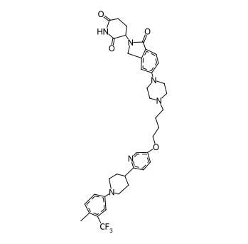 Cc1ccc(N2CCC(c3ccc(OCCCCN4CCN(c5ccc6c(c5)CN(C5CCC(=O)NC5=O)C6=O)CC4)cn3)CC2)cc1C(F)(F)F